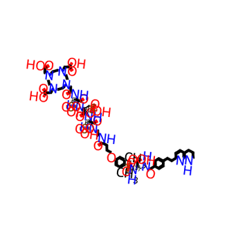 Cc1cc(OCCCC(=O)NCCNC(=O)[C@H](CS(=O)(=O)O)NC(=O)[C@H](CS(=O)(=O)O)NC(=O)[C@H](CS(=O)(=O)O)NC(=O)CN2CCN(CC(=O)O)CCN(CC(=O)O)CCN(CC(=O)O)CC2)cc(C)c1S(=O)(=O)N[C@@H](CNC(=O)c1ccc(CCc2ccc3c(n2)NCCC3)cc1)C(=O)O